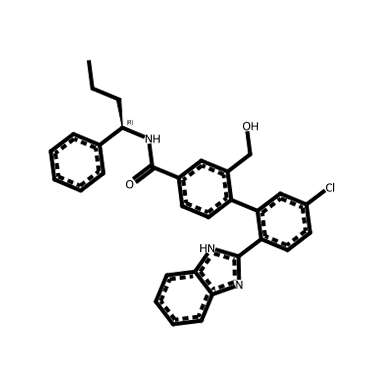 CCC[C@@H](NC(=O)c1ccc(-c2cc(Cl)ccc2-c2nc3ccccc3[nH]2)c(CO)c1)c1ccccc1